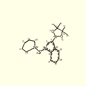 CC1(C)OB(c2cn(SN3CCCCC3)c3ccccc23)OC1(C)C